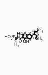 C[C@H](NC(=O)c1c(O)c2ccc(-c3cc(C(F)(F)F)nn3C)cc2sc1=O)C(=O)O